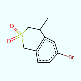 CC1CS(=O)(=O)Cc2ccc(Br)cc21